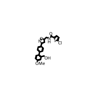 COc1ccc(-c2ccc(C3=NOC(CNC(=O)c4ccc(Cl)s4)C3)cc2)c(CO)c1